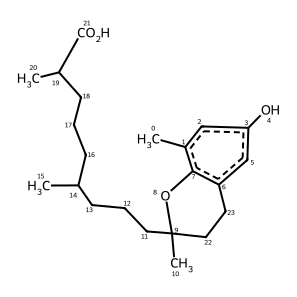 Cc1cc(O)cc2c1OC(C)(CCCC(C)CCCC(C)C(=O)O)CC2